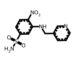 NS(=O)(=O)c1ccc([N+](=O)[O-])c(NCc2cccnc2)c1